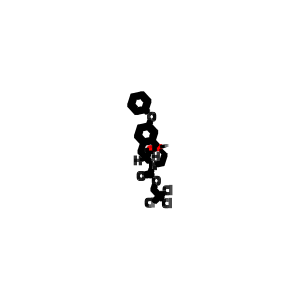 O=C(OCC(Cl)(Cl)Cl)N1CC[C@]23CCCC[C@H]2[C@H]1Cc1ccc(Oc2ccccc2)cc13